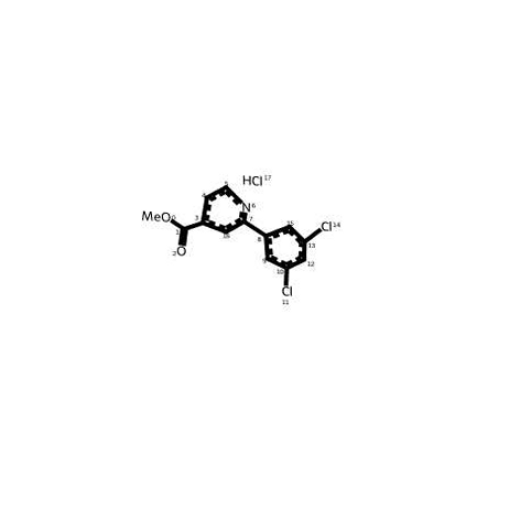 COC(=O)c1ccnc(-c2cc(Cl)cc(Cl)c2)c1.Cl